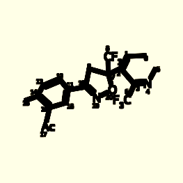 C/C=C(\C(=N/C)C(F)(F)F)C1(C(F)(F)F)CC(c2ccc(C)c(C(C)=O)c2)=NO1